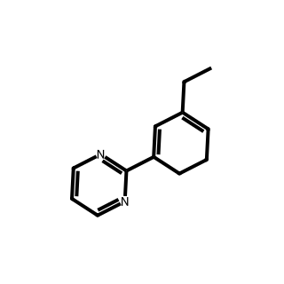 CCC1=CCCC(c2ncccn2)=C1